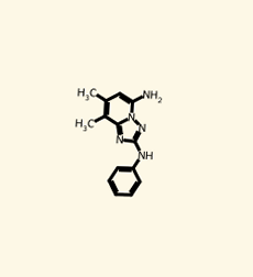 Cc1cc(N)n2nc(Nc3ccccc3)nc2c1C